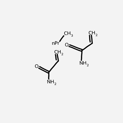 C=CC(N)=O.C=CC(N)=O.CCCC